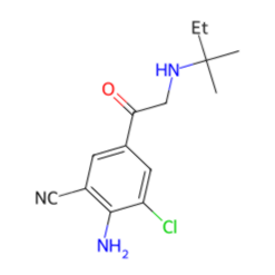 CCC(C)(C)NCC(=O)c1cc(Cl)c(N)c(C#N)c1